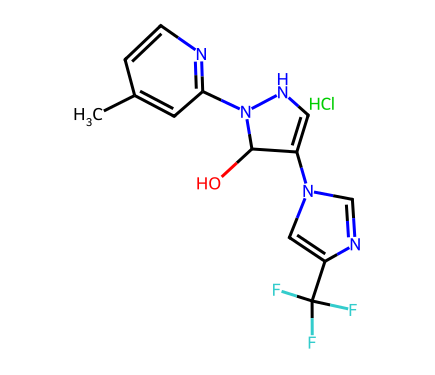 Cc1ccnc(N2NC=C(n3cnc(C(F)(F)F)c3)C2O)c1.Cl